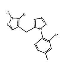 CCn1ncc(Cc2cnnn2-c2ccc(F)cc2C(C)=O)c1Br